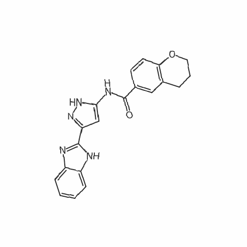 O=C(Nc1cc(-c2nc3ccccc3[nH]2)n[nH]1)c1ccc2c(c1)CCCO2